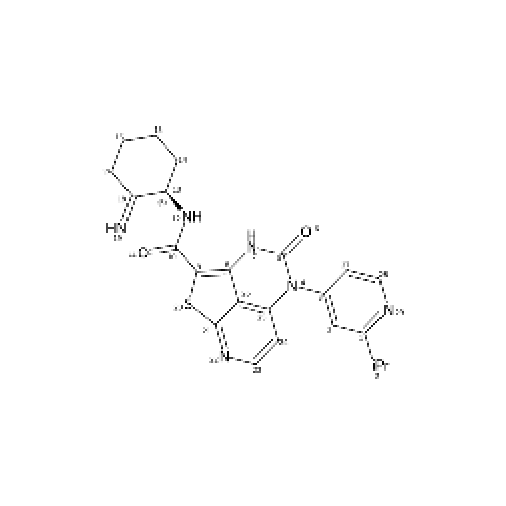 CC(C)c1cc(N2C(=O)Nc3c(C(=O)N[C@@H]4CCCCC4=N)sc4nccc2c34)ccn1